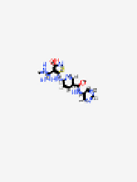 CNC(=N)c1c(O)nsc1Nc1ccc(C(=O)Nc2cncnc2)cn1